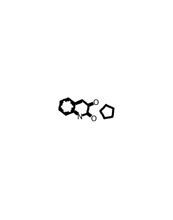 C1CCCC1.O=C1C=c2ccccc2=NC1=O